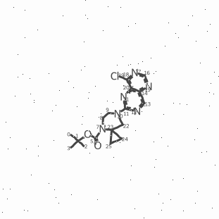 CC(C)(C)OC(=O)N1CCN(c2ncc3ncnc(Cl)c3n2)CC12CC2